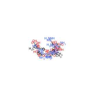 CC[C@H](C)[C@H](NC(=O)[C@H](CO)NC(=O)[C@H](CCC(N)=O)NC(=O)[C@H](CO)NC(=O)[C@H](CO)NC(=O)[C@@H](N)CCCNC(=N)N)C(=O)N[C@H](C(=O)N[C@@H](Cc1c[nH]cn1)C(=O)N[C@@H](CO)C(=O)N[C@@H](CC(N)=O)C(=O)NCC(=O)N[C@@H](CC(N)=O)C(=O)N[C@H](C(=O)N[C@@H](Cc1ccc(O)cc1)C(=O)N[C@@H](CC(C)C)C(=O)N[C@@H](CCC(=O)O)C(=O)O)[C@@H](C)O)C(C)C